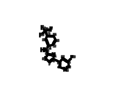 Fc1cncc(-c2csc(Nc3cccc(C(F)(F)F)c3)n2)c1